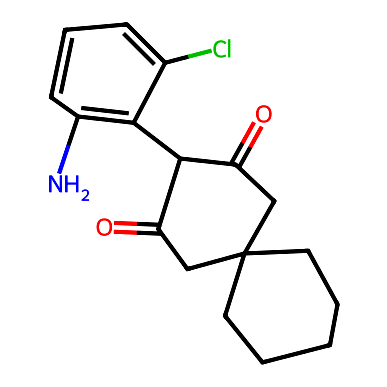 Nc1cccc(Cl)c1C1C(=O)CC2(CCCCC2)CC1=O